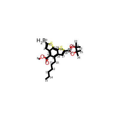 Bc1cc2c(C(=O)OC)c(CCCCCC)c3cc(B4OC(C)(C)C(C)(C)O4)sc3c2s1